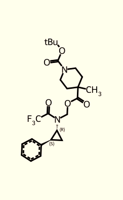 CC(C)(C)OC(=O)N1CCC(C)(C(=O)OCN(C(=O)C(F)(F)F)[C@@H]2C[C@H]2c2ccccc2)CC1